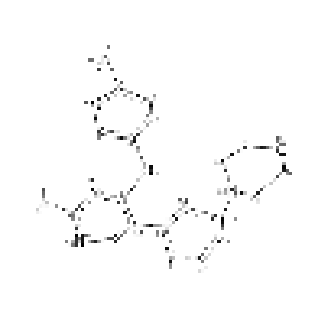 Nc1ccc(Oc2nc(N)ncc2-c2cccc(N3CCOCC3)c2)cc1